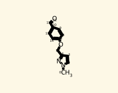 Cn1ccc(COc2ccc(C=O)cc2)n1